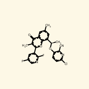 Cc1cc([C@@H](C)Oc2ccc(Cl)nc2C#N)c2oc(-c3cc(F)cnc3F)c(C)c(=O)c2c1